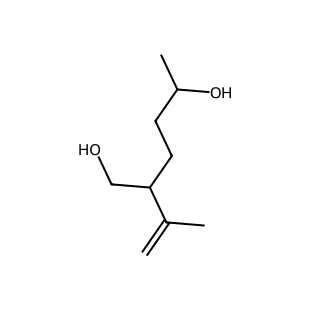 C=C(C)C(CO)CCC(C)O